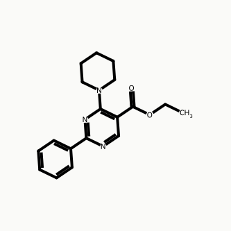 CCOC(=O)c1cnc(-c2ccccc2)nc1N1CCCCC1